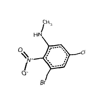 CNc1cc(Cl)cc(Br)c1[N+](=O)[O-]